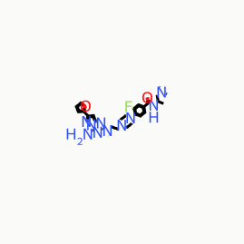 CC(CN(C)C)NC(=O)c1ccc(N2CCN(CCN(C)c3nc(N)n4nc(-c5ccco5)cc4n3)CC2)c(F)c1